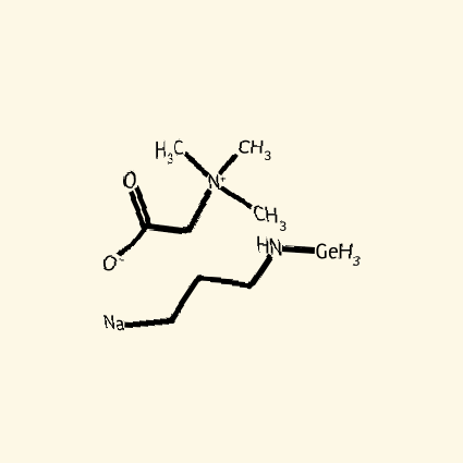 C[N+](C)(C)CC(=O)[O-].[Na][CH2]CC[NH][GeH3]